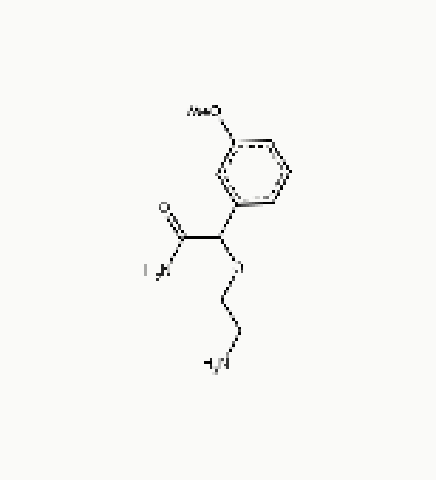 COc1cccc(C(OCCN)C(N)=O)c1